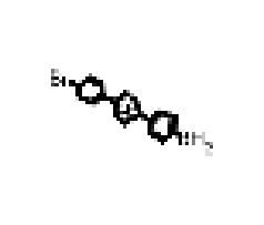 Bc1ccc(C23CCC(c4ccc(Br)cc4)(CC2)CC3)cc1